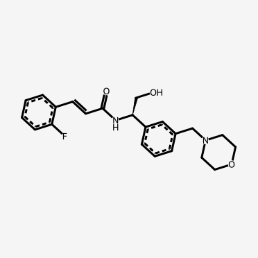 O=C(C=Cc1ccccc1F)N[C@@H](CO)c1cccc(CN2CCOCC2)c1